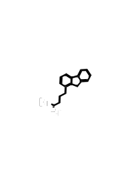 BrC(Br)CCCc1cccc2c1[CH]c1ccccc1-2